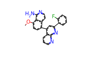 COc1ccc(-c2cc(-c3ccccc3F)nc3ncccc23)c2ccnc(N)c12